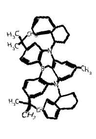 Cc1cc2c3c(c1)N(C1CCCc4ccccc41)c1cc(C(C)(C)C)ccc1B3c1ccc(C(C)(C)C)cc1N2C1CCCc2ccccc21